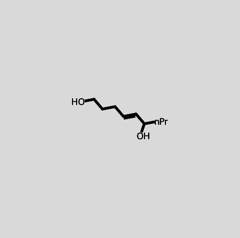 CCCC(O)C=CCCCO